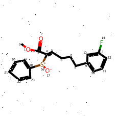 COC(=O)/C(=C/CCCc1cccc(F)c1)[S+]([O-])c1ccccc1